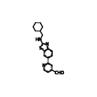 O=Cc1ccnc(-c2ccc3nc(NCC4CCCCC4)sc3c2)c1